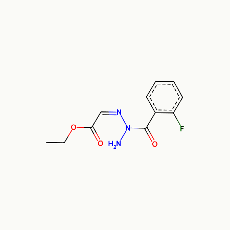 CCOC(=O)/C=N\N(N)C(=O)c1ccccc1F